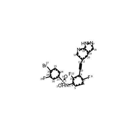 O=S(=O)(Nc1ccc(F)c(C#Cc2cnc3[nH]ncc3c2)c1F)c1ccc(Br)c(F)c1